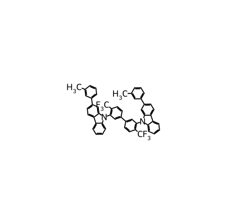 Cc1cccc(-c2ccc3c4ccccc4n(-c4cc(-c5ccc(C(F)(F)F)c(-n6c7ccccc7c7ccc(-c8cccc(C)c8)cc76)c5)ccc4C(F)(F)F)c3c2)c1